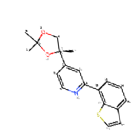 CC1(C)OC[C@](C)(c2ccnc(-c3cccc4ccsc34)c2)O1